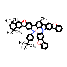 Cc1cc2c3c4c1c1cc5oc6ccccc6c5cc1n4-c1cc4c(cc1B3N(c1ccc(C(C)(C)C)cc1)c1cc3c(cc1-2)oc1cc2c(cc13)C(C)(C)CCC2(C)C)oc1ccccc14